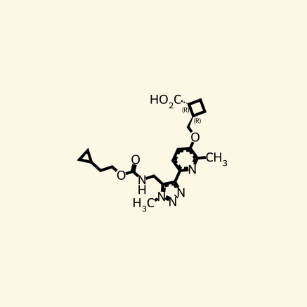 Cc1nc(-c2nnn(C)c2CNC(=O)OCCC2CC2)ccc1OC[C@@H]1CC[C@H]1C(=O)O